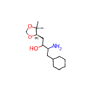 CC1(C)OCO[C@@H]1CC(O)C(N)CC1CCCCC1